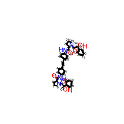 C[C@@](O)(C(=O)N1CCCC1C(=O)Nc1ccc(C#Cc2ccc(NC(=O)C3CCCN3C(=O)[C@@](C)(O)c3ccccc3)cc2)cc1)c1ccccc1